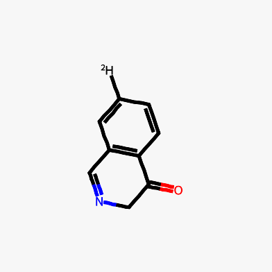 [2H]c1ccc2c(c1)C=NCC2=O